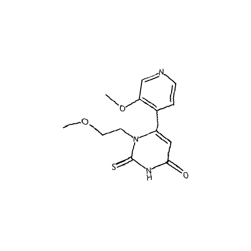 COCCn1c(-c2ccncc2OC)cc(=O)[nH]c1=S